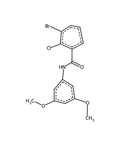 COc1cc(NC(=O)c2cccc(Br)c2Cl)cc(OC)c1